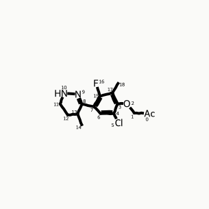 CC(=O)COc1c(Cl)cc(C2=NNCCC2C)c(F)c1C